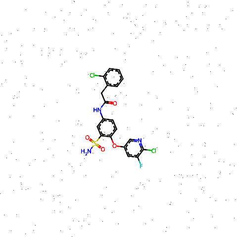 NS(=O)(=O)c1cc(NC(=O)Cc2ccccc2Cl)ccc1Oc1cnc(Cl)c(F)c1